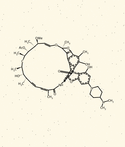 CO[C@H]1/C=C/O[C@@]2(C)Oc3c(C)c(O)c4c(=O)c(c5oc6cc(N7CCC(N(C)C)CC7)cc(O)c6nc-5c4c3C2=O)NC(=O)/C(C)=C\C=C\[C@H](C)[C@H](O)[C@@H](C)C[C@@H](C)[C@H](OC(C)=O)[C@@H]1C